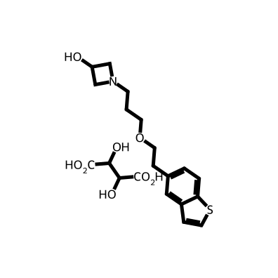 O=C(O)C(O)C(O)C(=O)O.OC1CN(CCCOCCc2ccc3sccc3c2)C1